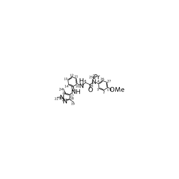 COc1ccc(N(C(=O)CNc2ccccc2Nc2c(C)nn(C)c2C)C(C)C)cc1